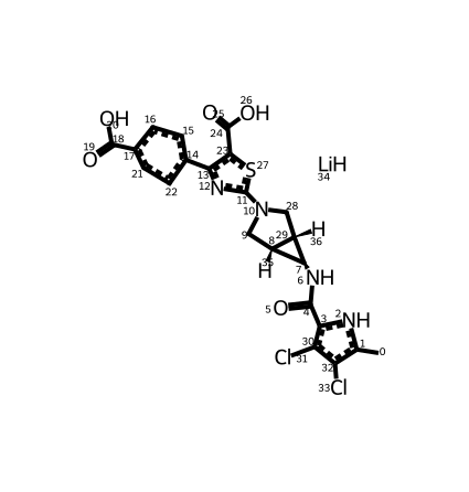 Cc1[nH]c(C(=O)N[C@H]2[C@@H]3CN(c4nc(-c5ccc(C(=O)O)cc5)c(C(=O)O)s4)C[C@@H]32)c(Cl)c1Cl.[LiH]